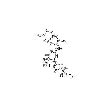 CN1CCc2cc(F)c(Nc3ncc(C(F)(F)F)c(-c4cc(S(C)(=O)=O)cs4)n3)cc2C1